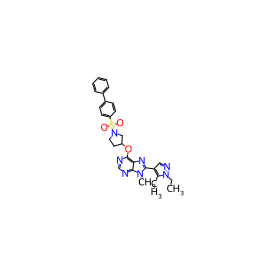 CCn1ncc(-c2nc3c(O[C@H]4CCN(S(=O)(=O)c5ccc(-c6ccccc6)cc5)C4)ncnc3n2C)c1C